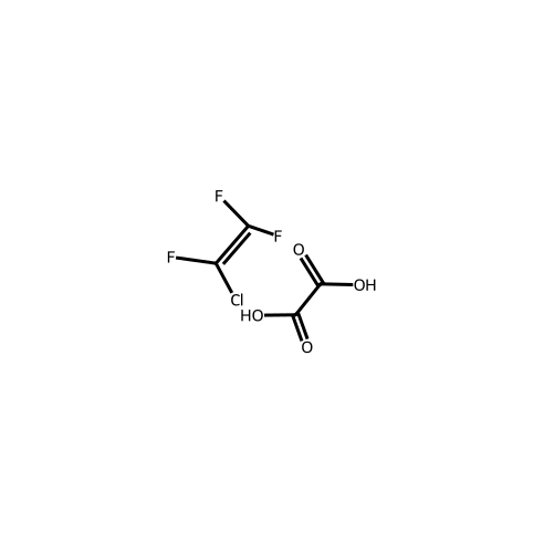 FC(F)=C(F)Cl.O=C(O)C(=O)O